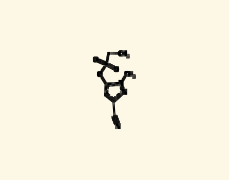 CCS(=O)(=O)Oc1cc(C#N)nn1C